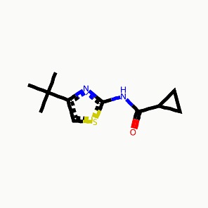 CC(C)(C)c1csc(NC(=O)C2CC2)n1